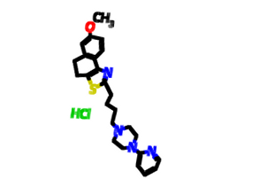 COc1ccc2c(c1)CCc1sc(CCCCN3CCN(c4ccccn4)CC3)nc1-2.Cl